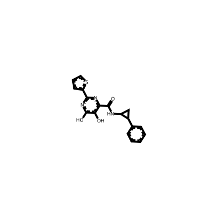 O=C(NC1CC1c1ccccc1)c1nc(-c2cccs2)nc(O)c1O